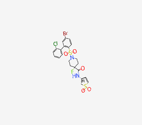 O=C(N[C@@H]1C=CS(=O)(=O)C1)C1(F)CCN(S(=O)(=O)c2ccc(Br)cc2-c2ccccc2Cl)CC1